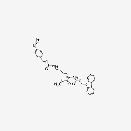 COC(=O)[C@H](CCCCNC(=O)OCc1ccc(N=[N+]=[N-])cc1)NC(=O)OCC1c2ccccc2-c2ccccc21